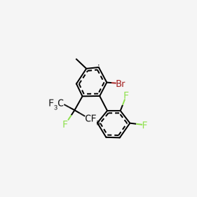 Cc1[c]c(Br)c(-c2cccc(F)c2F)c(C(F)(C(F)(F)F)C(F)(F)F)c1